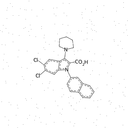 O=C(O)c1c(N2CCCCC2)c2cc(Cl)c(Cl)cc2n1-c1ccc2ccccc2c1